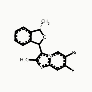 Cc1nc2cc(F)c(Br)cn2c1C1O[C@@H](C)c2ccccc21